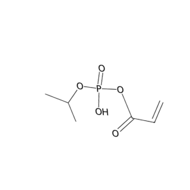 C=CC(=O)OP(=O)(O)OC(C)C